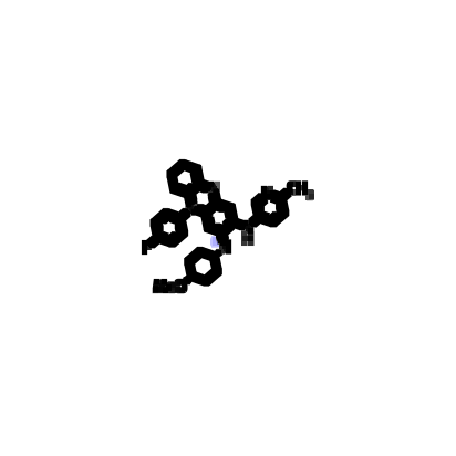 CO[C@H]1CC[C@H](/N=c2\cc3n(-c4ccc(F)cc4)c4c(nc-3cc2Nc2ccc(C)nc2)=CCCC=4)CC1